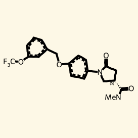 CNC(=O)[C@H]1CC(=O)N(c2ccc(OCc3cccc(OC(F)(F)F)c3)cc2)C1